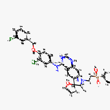 CC(NCCS(=O)(=O)c1ccccc1)C1(c2ccc3ncnc(Nc4ccc(OCc5cccc(F)c5)c(Cl)c4)c3c2)CC=CO1